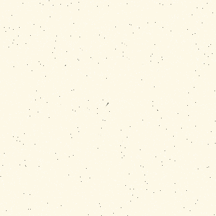 C[C@H]1CN([C@@]2(C)COCC2O)CCN1c1cc2c(cnn2-c2cnn(C34CC(C3)C4)c2)cc1Cl